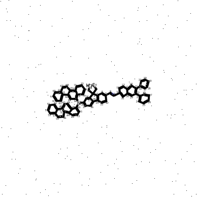 CCC1(CC)c2cc(/C=C/c3ccc4cc(-c5ccccc5)c(-c5ccccc5)cc4c3)ccc2-c2ccc(N(c3cccc4c3ccc3c5ccccc5ccc43)c3cc4c5ccccc5ccc4c4ccccc34)cc21